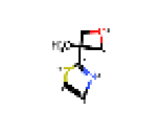 CC1(c2nccs2)COC1